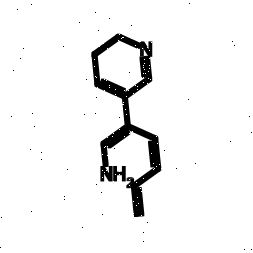 C=C/C=C\C(=C/N)C1=CCCN=C1